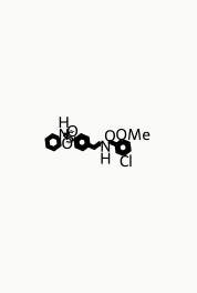 COc1ccc(Cl)cc1C(=O)NCCc1ccc(S(=O)(=O)NC2CCCCC2)cc1